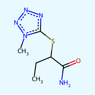 CCC(Sc1nnnn1C)C(N)=O